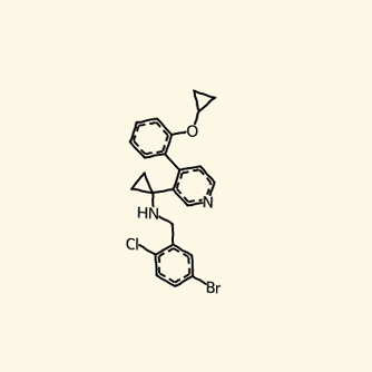 Clc1ccc(Br)cc1CNC1(c2cnccc2-c2ccccc2OC2CC2)CC1